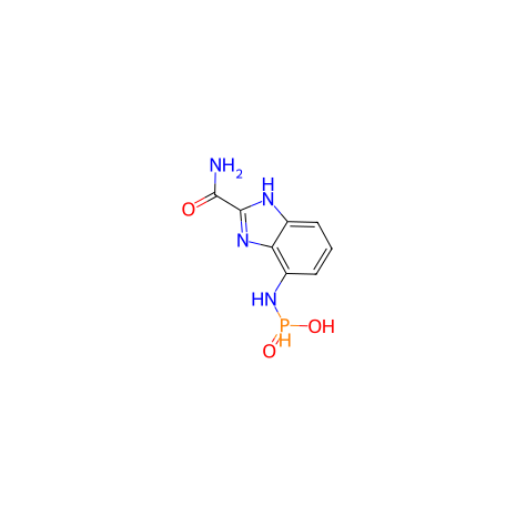 NC(=O)c1nc2c(N[PH](=O)O)cccc2[nH]1